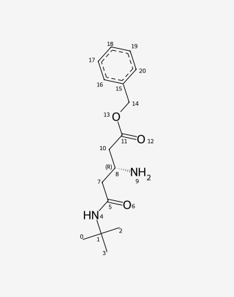 CC(C)(C)NC(=O)C[C@@H](N)CC(=O)OCc1ccccc1